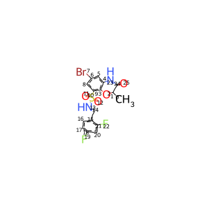 CC1Oc2c(cc(Br)cc2S(=O)(=O)NCc2ccc(F)cc2F)NC1=O